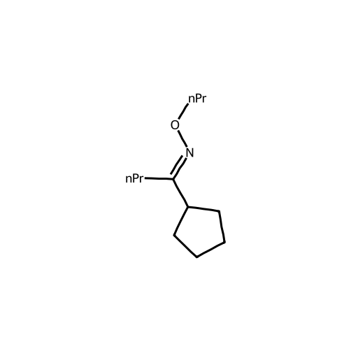 CCCO/N=C(\CCC)C1CCCC1